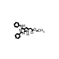 CCOC(=O)Cc1cc2c(Nc3ccccc3)nc(-c3ccccc3)nc2[nH]1